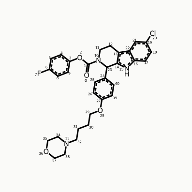 O=C(Oc1ccc(F)cc1)N1CCc2c([nH]c3ccc(Cl)cc23)C1c1ccc(OCCCCN2CCOCC2)cc1